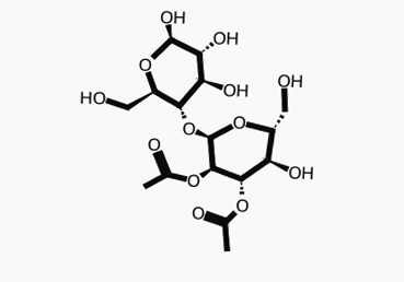 CC(=O)O[C@H]1[C@@H](O[C@H]2[C@H](O)[C@@H](O)[C@H](O)O[C@@H]2CO)O[C@H](CO)[C@@H](O)[C@@H]1OC(C)=O